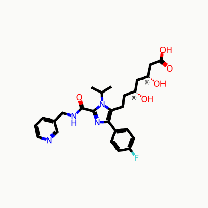 CC(C)n1c(C(=O)NCc2cccnc2)nc(-c2ccc(F)cc2)c1CC[C@@H](O)C[C@@H](O)CC(=O)O